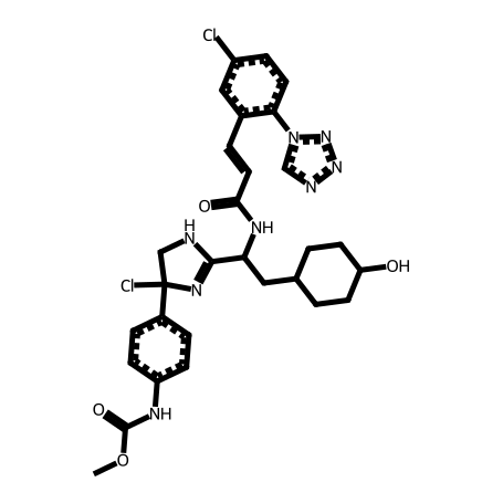 COC(=O)Nc1ccc(C2(Cl)CNC(C(CC3CCC(O)CC3)NC(=O)C=Cc3cc(Cl)ccc3-n3cnnn3)=N2)cc1